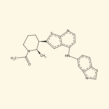 CC(=O)N1CCC[C@@H](c2cc3c(Nc4ccc5scnc5c4)ccnc3s2)[C@H]1C